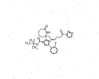 CC(C)(C)OC(=O)n1cc(-c2ccccc2F)nc1C1(CC=CCCC(=O)c2ccon2)CCCCC(=O)N1